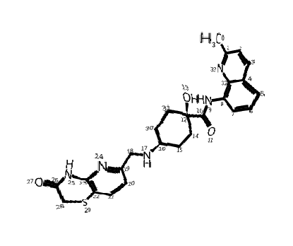 Cc1ccc2cccc(NC(=O)[C@]3(O)CC[C@@H](NCc4ccc5c(n4)NC(=O)CS5)CC3)c2n1